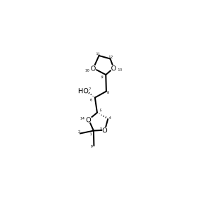 CC1(C)OC[C@@H]([C@H](O)CC2OCCO2)O1